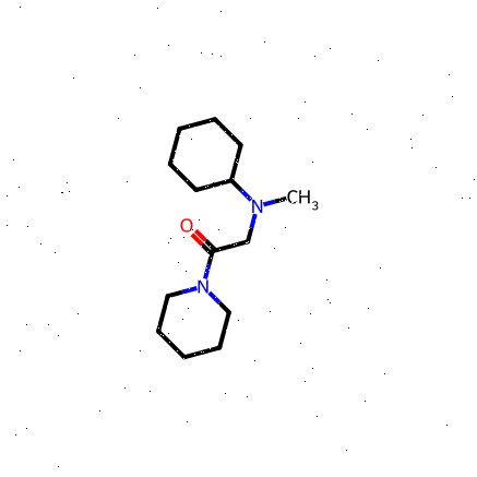 CN(CC(=O)N1CCCCC1)C1CCCCC1